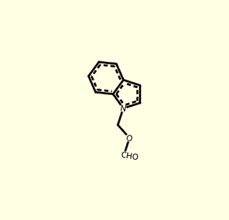 O=COCn1ccc2ccccc21